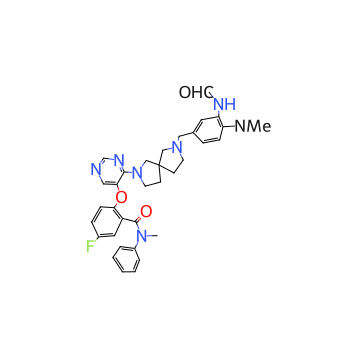 CNc1ccc(CN2CCC3(CCN(c4ncncc4Oc4ccc(F)cc4C(=O)N(C)c4ccccc4)C3)C2)cc1NC=O